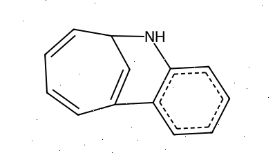 C1=CC2=CC(C=C1)Nc1ccccc12